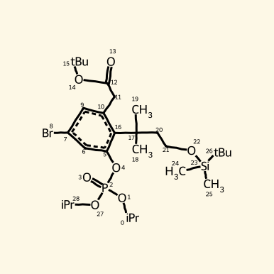 CC(C)OP(=O)(Oc1cc(Br)cc(CC(=O)OC(C)(C)C)c1C(C)(C)CCO[Si](C)(C)C(C)(C)C)OC(C)C